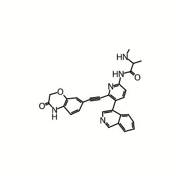 CNC(C)C(=O)Nc1ccc(-c2cncc3ccccc23)c(C#Cc2ccc3c(c2)OCC(=O)N3)n1